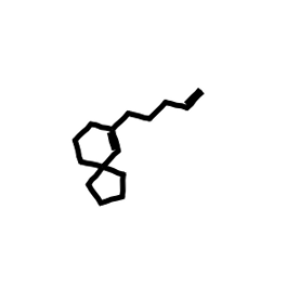 C=CCCCC1=CC2(CCCC2)CCC1